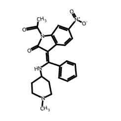 CC(=O)N1C(=O)/C(=C(\NC2CCN(C)CC2)c2ccccc2)c2ccc([N+](=O)[O-])cc21